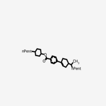 CCCCCC1CCC(OC(=O)c2ccc(C3=CCC(C(C)CCCCC)CC3)cc2)CC1